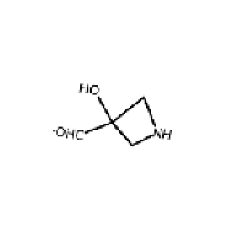 O=[C]C1(O)CNC1